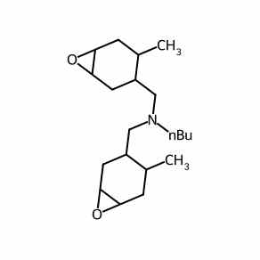 CCCCN(CC1CC2OC2CC1C)CC1CC2OC2CC1C